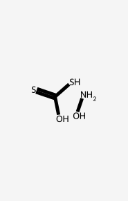 NO.OC(=S)S